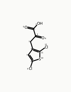 O=C(O)C(=O)Cc1cc(Cl)sc1Cl